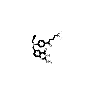 C#CCN(Cc1ccc2nc(N)[nH]c(=O)c2c1)c1ccc(C(=O)CCCN(CC)CC)cc1